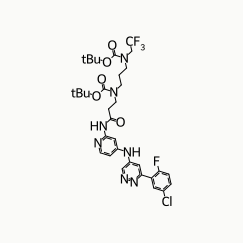 CC(C)(C)OC(=O)N(CCCN(CC(F)(F)F)C(=O)OC(C)(C)C)CCC(=O)Nc1cc(Nc2cnnc(-c3cc(Cl)ccc3F)c2)ccn1